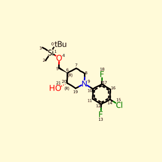 CC(C)(C)[Si](C)(C)OC[C@H]1CCN(c2cc(F)c(Cl)cc2F)C[C@@H]1O